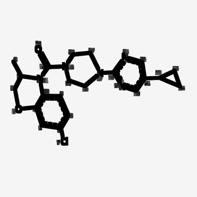 CC1COc2cc(Cl)ccc2N1C(=O)N1CCN(c2ncc(C3CC3)cn2)CC1